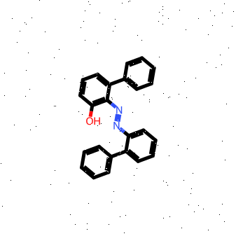 Oc1cccc(-c2ccccc2)c1N=Nc1ccccc1-c1ccccc1